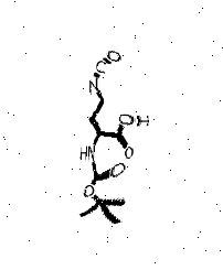 CC(C)(C)OC(=O)NC(CCN=C=O)C(=O)O